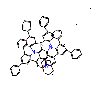 c1ccc(-c2ccc3c(c2)B2c4cc(-c5ccccc5)ccc4N(c4c(-c5ccccc5)cc(-c5ccccc5)cc4-c4ccccc4)c4cc(N5C6CCCC5CCC6)cc(c42)N3c2c(-c3ccccc3)cc(-c3ccccc3)cc2-c2ccccc2)cc1